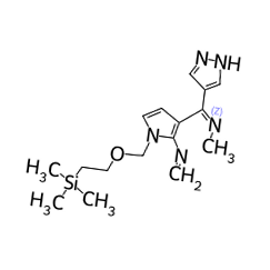 C=Nc1c(/C(=N\C)c2cn[nH]c2)ccn1COCC[Si](C)(C)C